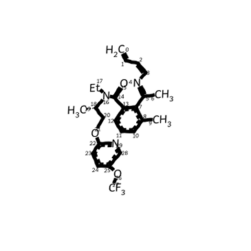 C=C/C=C\N=C(/C)c1c(C)cccc1C(=O)N(CC)[C@@H](C)COc1ccc(OC(F)(F)F)cn1